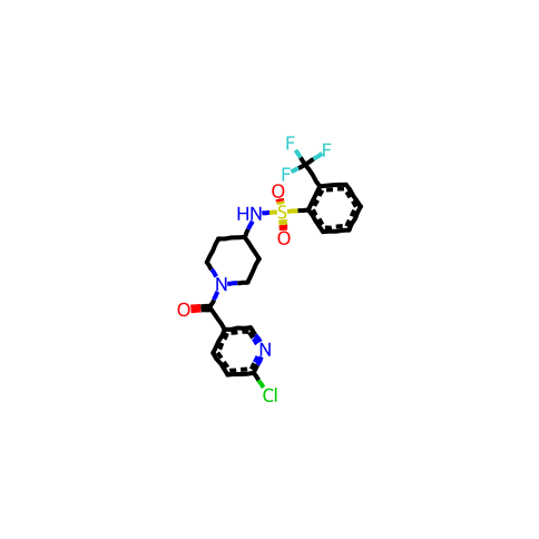 O=C(c1ccc(Cl)nc1)N1CCC(NS(=O)(=O)c2ccccc2C(F)(F)F)CC1